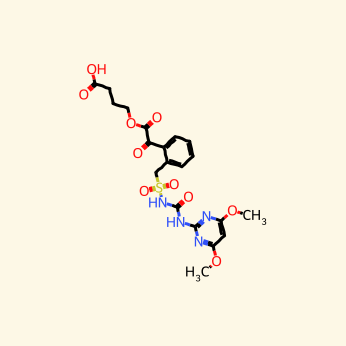 COc1cc(OC)nc(NC(=O)NS(=O)(=O)Cc2ccccc2C(=O)C(=O)OCCCC(=O)O)n1